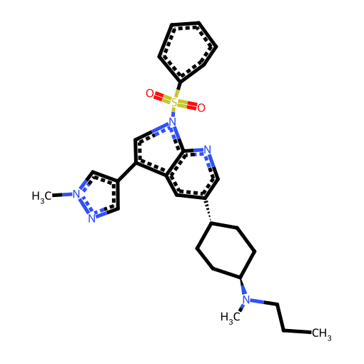 CCCN(C)[C@H]1CC[C@H](c2cnc3c(c2)c(-c2cnn(C)c2)cn3S(=O)(=O)c2ccccc2)CC1